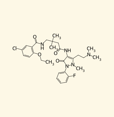 CCOc1ccc(Cl)cc1C(=O)NCC(C)(C)CC(=O)Nc1c(CCN(C)C)n(C)n(-c2ccccc2F)c1=O